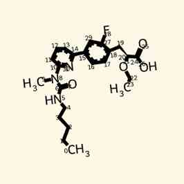 CCCCCNC(=O)N(C)c1cccc(-c2ccc(C[C@H](OCC)C(=O)O)c(F)c2)n1